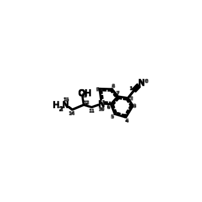 N#Cc1cccc2c1ccn2CC(O)CN